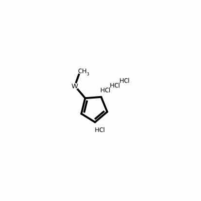 Cl.Cl.Cl.Cl.[CH3][W][C]1=CC=CC1